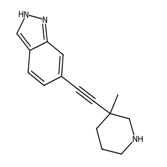 CC1(C#Cc2ccc3c[nH]nc3c2)CCCNC1